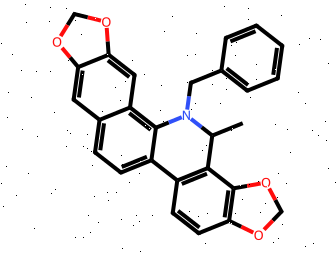 CC1c2c(ccc3c2OCO3)-c2ccc3cc4c(cc3c2N1Cc1ccccc1)OCO4